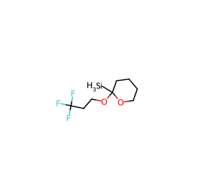 FC(F)(F)CCOC1([SiH3])CCCCO1